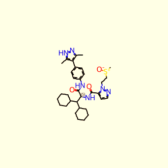 Cc1n[nH]c(C)c1-c1ccc(NC(=O)[C@@H](NC(=O)c2ccnn2CC[S+](C)[O-])C(C2CCCCC2)C2CCCCC2)cc1